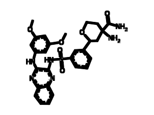 COc1cc(Nc2nc3ccccc3nc2NS(=O)(=O)c2cccc(C3CC(N)(C(N)=O)CCO3)c2)cc(OC)c1